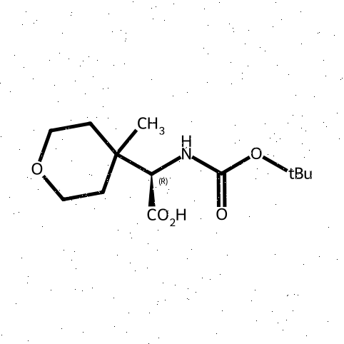 CC(C)(C)OC(=O)N[C@@H](C(=O)O)C1(C)CCOCC1